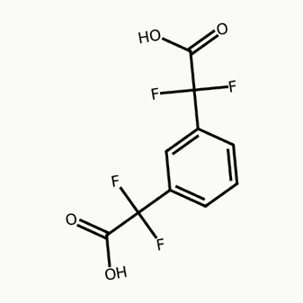 O=C(O)C(F)(F)c1cccc(C(F)(F)C(=O)O)c1